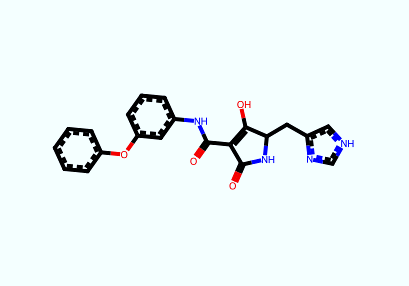 O=C(Nc1cccc(Oc2ccccc2)c1)C1=C(O)C(Cc2c[nH]cn2)NC1=O